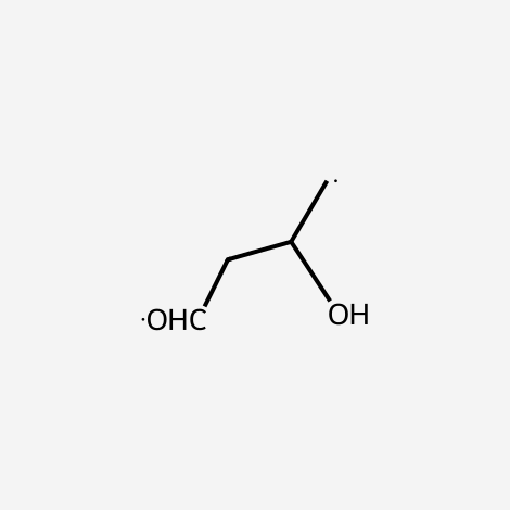 [CH2]C(O)C[C]=O